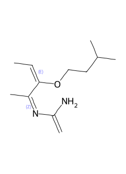 C=C(N)/N=C(C)\C(=C/C)OCCC(C)C